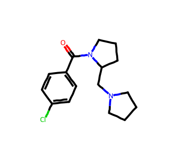 O=C(c1ccc(Cl)cc1)N1CCCC1CN1CCCC1